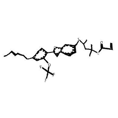 C=CC(=O)OC(C)(C)CC(C)Sc1ccc2cc(-c3ccc(CCCCC)cc3OC(F)(F)F)oc2c1